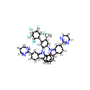 N#Cc1cc(-n2c3ccccc3c3ccc(-c4ncccn4)cc32)c(-n2c3ccccc3c3ccc(-c4ncccn4)cc32)cc1-c1c(F)c(F)c(F)c(F)c1F